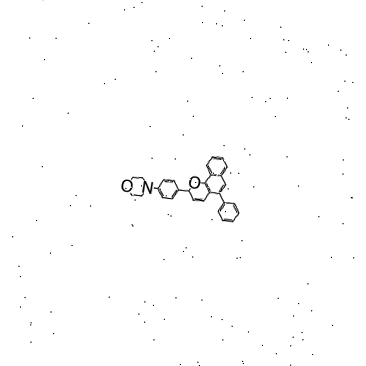 C1=CC(c2ccc(N3CCOCC3)cc2)Oc2c1c(-c1ccccc1)cc1ccccc21